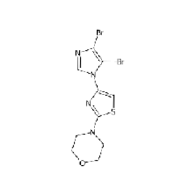 Brc1ncn(-c2csc(N3CCOCC3)n2)c1Br